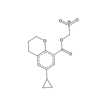 O=C(OC[SH](=O)=O)c1cc(C2CC2)cc2c1OCCC2